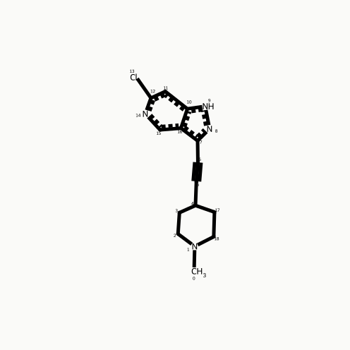 CN1CCC(C#Cc2n[nH]c3cc(Cl)ncc23)CC1